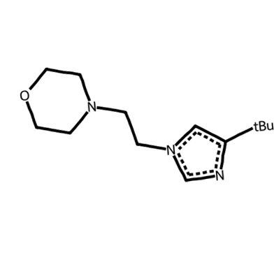 CC(C)(C)c1cn(CCN2CCOCC2)cn1